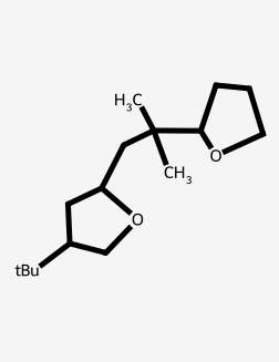 CC(C)(C)C1COC(CC(C)(C)C2CCCO2)C1